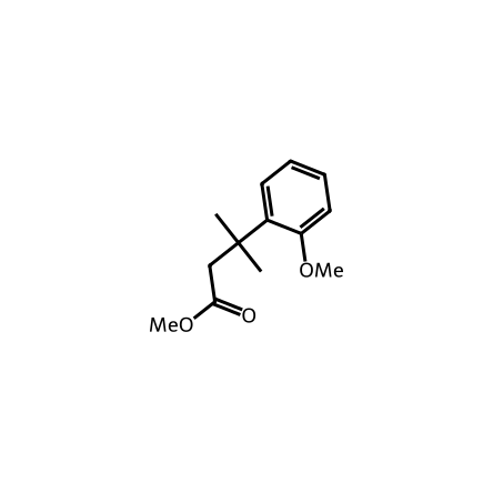 COC(=O)CC(C)(C)c1ccccc1OC